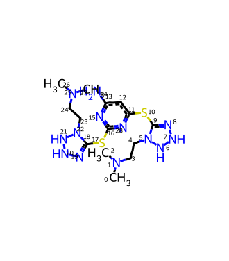 CN(C)CCN1NNN=C1Sc1cc(N)nc(SC2=NNNN2CCN(C)C)n1